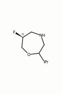 CC(C)C1CNC[C@H](F)CO1